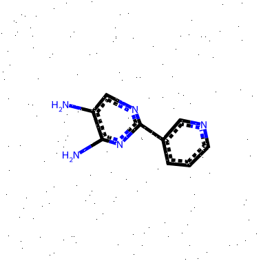 Nc1cnc(-c2cccnc2)nc1N